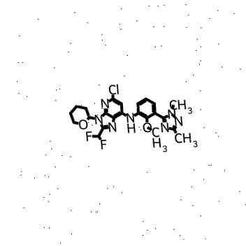 COc1c(Nc2cc(Cl)nc3c2nc(C(F)F)n3C2CCCCO2)cccc1-c1nc(C)nn1C